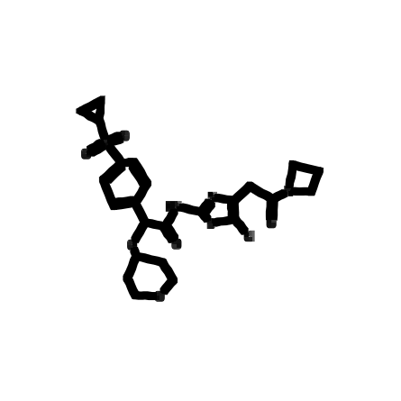 O=C(Nc1nc(CC(=O)N2CCC2)c(Cl)s1)C(OC1CCOCC1)c1ccc(S(=O)(=O)C2CC2)cc1